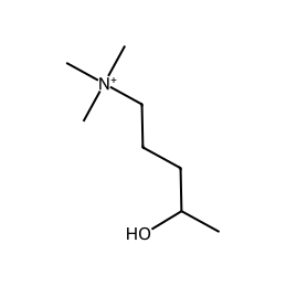 CC(O)CCC[N+](C)(C)C